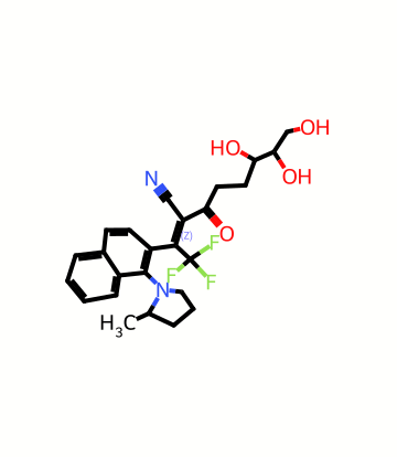 CC1CCCN1c1c(/C(=C(\C#N)C(=O)CCC(O)C(O)CO)C(F)(F)F)ccc2ccccc12